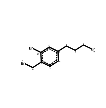 BrCCCc1ccc(CBr)c(Br)c1